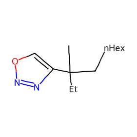 CCCCCCCC(C)(CC)c1conn1